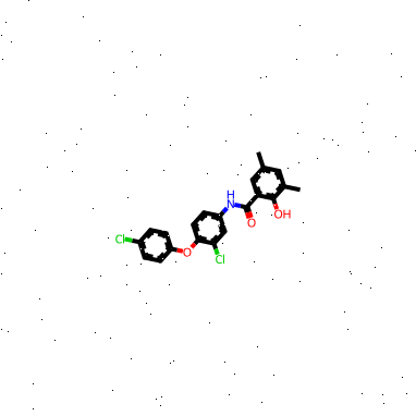 Cc1cc(C)c(O)c(C(=O)Nc2ccc(Oc3ccc(Cl)cc3)c(Cl)c2)c1